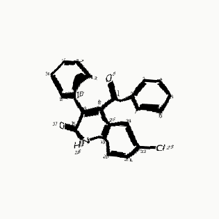 O=C(c1ccccc1)c1c(-c2ccccc2)c(=O)[nH]c2ccc(Cl)cc12